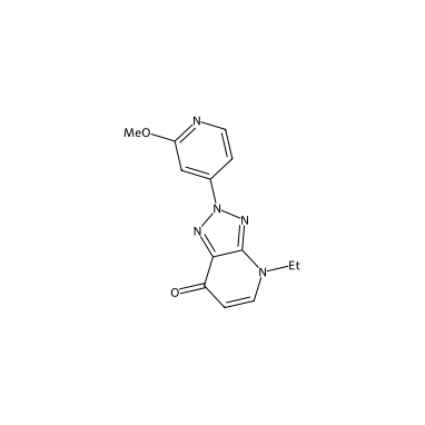 CCn1ccc(=O)c2nn(-c3ccnc(OC)c3)nc21